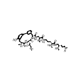 CNCCC[C@@H](CNC(=O)[C@H](CCCNC(=O)[C@H](CNC(=O)[C@@H]1Cc2cccc(c2)-c2ccc(O)c(c2)C[C@H](NC)C(=O)N[C@@H](C[C@@H](O)CNC)C(=O)N1)NC)NC)NC